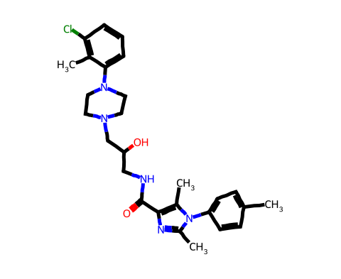 Cc1ccc(-n2c(C)nc(C(=O)NCC(O)CN3CCN(c4cccc(Cl)c4C)CC3)c2C)cc1